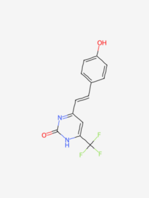 O=c1nc(C=Cc2ccc(O)cc2)cc(C(F)(F)F)[nH]1